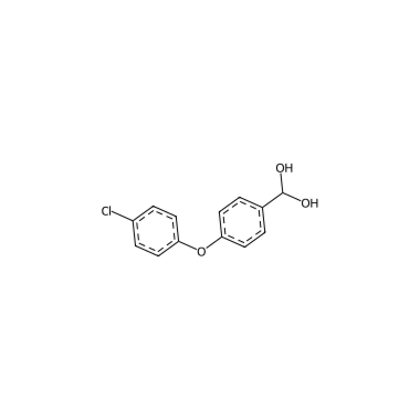 OC(O)c1ccc(Oc2ccc(Cl)cc2)cc1